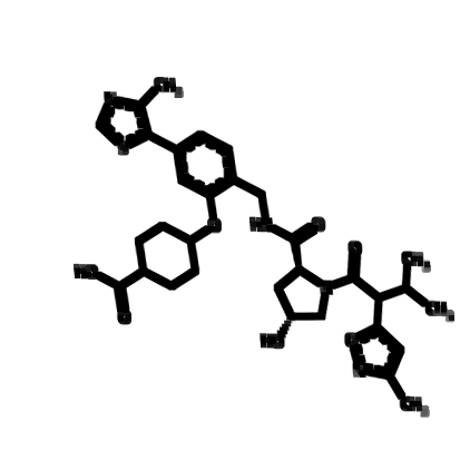 Cc1cc(C(C(=O)N2C[C@H](O)C[C@H]2C(=O)NCc2ccc(-c3scnc3C)cc2OC2CCC(C(=O)O)CC2)C(C)C)on1